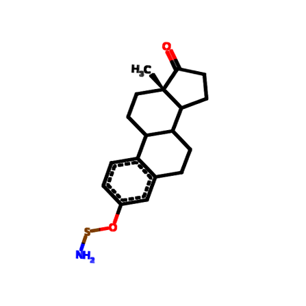 C[C@]12CCC3c4ccc(OSN)cc4CCC3C1CCC2=O